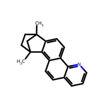 CC12CCC(C)(C1)c1c2ccc2c1ccc1cccnc12